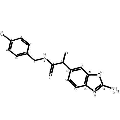 CC(C(=O)NCc1ccc(C(C)(C)C)cc1)c1ccc2nc(N)oc2c1